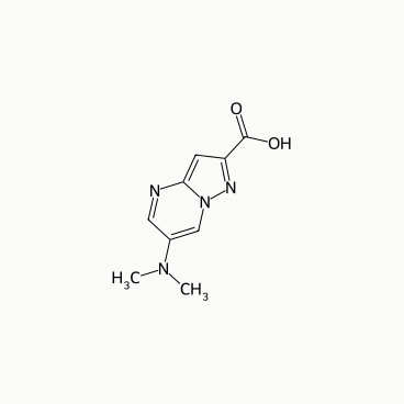 CN(C)c1cnc2cc(C(=O)O)nn2c1